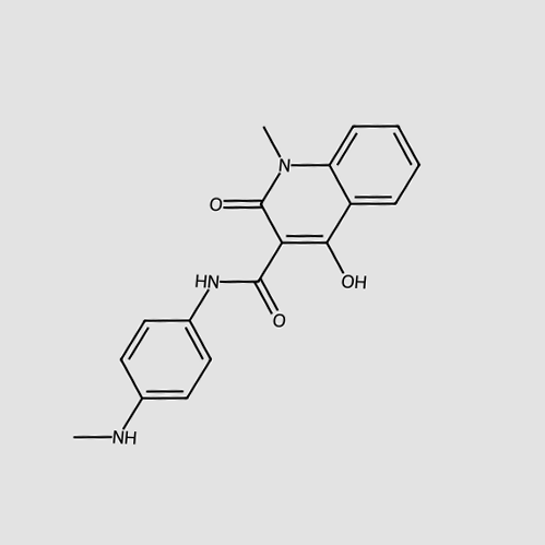 CNc1ccc(NC(=O)c2c(O)c3ccccc3n(C)c2=O)cc1